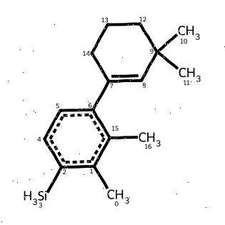 Cc1c([SiH3])ccc(C2=CC(C)(C)CCC2)c1C